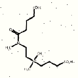 CCCCCCCCCCCCCC(=O)N(C)CC[N+](C)(C)CCCS(=O)(=O)O